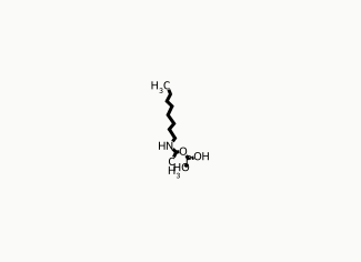 CCCCCCCCNC(C)OP(O)O